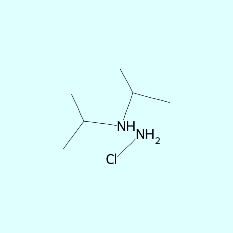 CC(C)NC(C)C.NCl